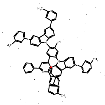 Cc1cccc(-c2ccc3c(c2)c2cc(-c4cccc(C)c4)ccc2n3-c2cc(-c3cc(-c4ccccc4)nc(-c4ccccc4)c3)c(-n3c4ccc(-c5cccc(C)c5)cc4c4cc(-c5cccc(C)c5)ccc43)cc2C#N)c1